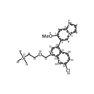 COc1cc2nccn2cc1-c1cn(COCC[Si](C)(C)C)c2nc(Cl)ccc12